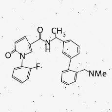 CNCc1ccccc1-c1cccc(C(C)NC(=O)c2ccc(=O)n(-c3ccccc3F)c2)c1